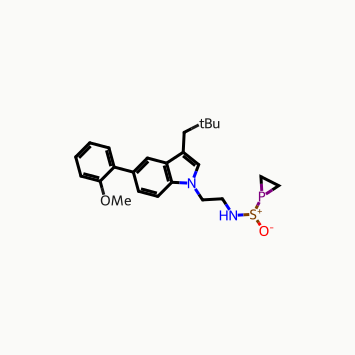 COc1ccccc1-c1ccc2c(c1)c(CC(C)(C)C)cn2CCN[S+]([O-])P1CC1